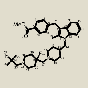 COC(=O)c1ccc(Cc2c(C)n(CC3CCN(CC4(F)CCN(CC(C)(C)F)CC4)CC3)c3ccccc23)cc1